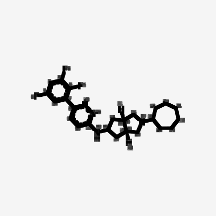 Fc1cc(F)c(F)c(-c2ccc(NC3C[C@@H]4CN(C5CCCCCC5)C[C@@H]4C3)nn2)c1